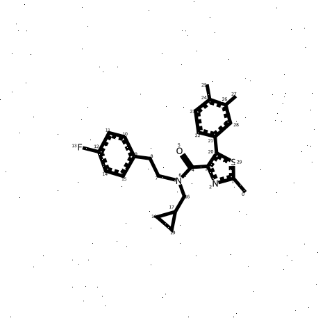 Cc1nc(C(=O)N(CCc2ccc(F)cc2)CC2CC2)c(-c2ccc(C)c(C)c2)s1